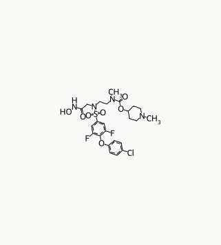 CN1CCC(OC(=O)N(C)CCN(CC(=O)NO)S(=O)(=O)c2cc(F)c(Oc3ccc(Cl)cc3)c(F)c2)CC1